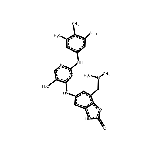 Cc1cnc(Nc2cc(C)c(C)c(C)c2)nc1Nc1cc(CN(C)C)c2oc(=O)[nH]c2c1